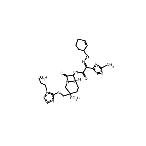 Nc1nc(C(=NOC2C=CCCC2)C(=O)NC2C(=O)N3CC(CSc4nnnn4CCC(=O)O)(C(=O)O)CS[C@H]23)ns1